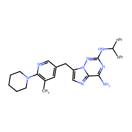 CCCC(CCC)Nc1nc(N)c2ncc(Cc3cnc(N4CCCCC4)c(C)c3)n2n1